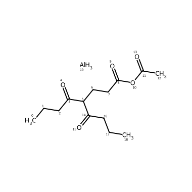 CCCC(=O)C(CCC(=O)OC(C)=O)C(=O)CCC.[AlH3]